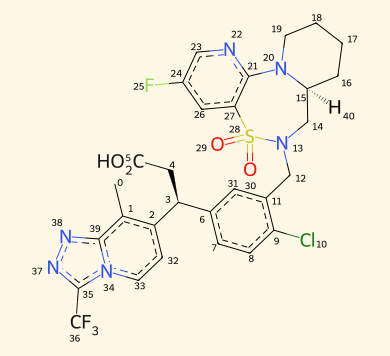 Cc1c([C@@H](CC(=O)O)c2ccc(Cl)c(CN3C[C@@H]4CCCCN4c4ncc(F)cc4S3(=O)=O)c2)ccn2c(C(F)(F)F)nnc12